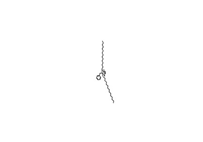 CCCCCCCCCCCCCCCN1C=CN(CCCCCCCCCCCCCCC)C1Cc1ccccc1